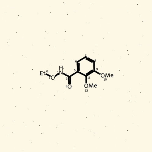 CCONC(=O)c1cccc(OC)c1OC